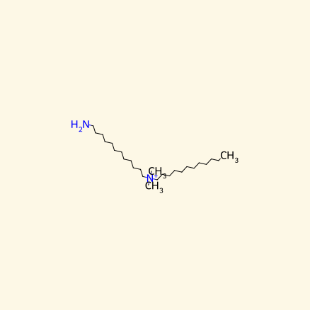 CCCCCCCCCCCC[N+](C)(C)CCCCCCCCCCCCN